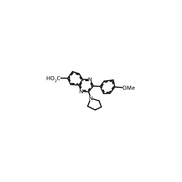 COc1ccc(-c2nc3ccc(C(=O)O)cc3nc2N2CCCC2)cc1